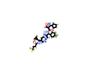 O=C(CCC(F)(F)F)N[C@@H](c1cnn2cc([C@@H](NC(=O)c3conc3C3CCCC3)C3CCC(F)(F)CC3)nc2c1)C1CC1